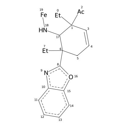 CCC1(C(C)=O)C=CCC(CC)(c2nc3ccccc3o2)C1[NH][Fe]